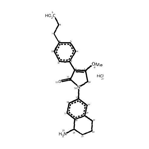 COC1=C(c2ccc(CCC(=O)O)cc2)C(=O)N(c2ccc3c(c2)CCCC3N)C1.Cl